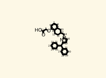 O=C(O)COc1cccc2c1CCC(Cn1ccc(C(c3ccccc3)c3ccccc3)n1)C2